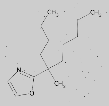 CCCCCC(C)(CCCC)c1ncco1